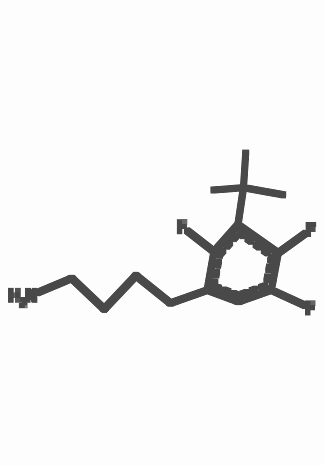 CC(C)(C)c1c(F)c(F)cc(CCCCN)c1F